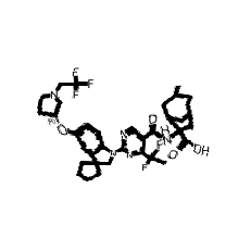 CC1CC2CC(C1)C(NC(=O)c1cnc(N3CC4(CCCC4)c4cc(O[C@@H]5CCN(CC(F)(F)F)C5)ccc43)nc1C(C)(F)F)(C(=O)O)C2